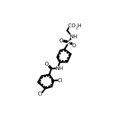 O=C(O)CNS(=O)(=O)c1ccc(NC(=O)c2ccc(Cl)cc2Cl)cc1